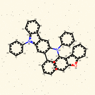 c1ccc(-c2cc3c(cc2N(c2ccccc2)c2cccc4oc5ccccc5c24)c2ccccc2n3-c2ccccc2)cc1